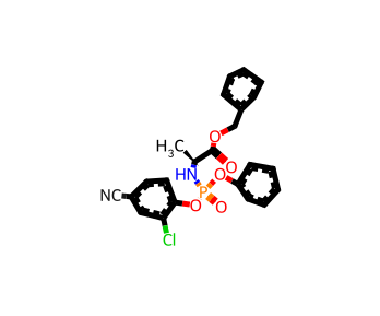 C[C@H](NP(=O)(Oc1ccccc1)Oc1ccc(C#N)cc1Cl)C(=O)OCc1ccccc1